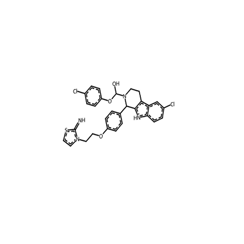 N=c1sccn1CCOc1ccc(C2c3[nH]c4ccc(Cl)cc4c3CCN2C(O)Oc2ccc(Cl)cc2)cc1